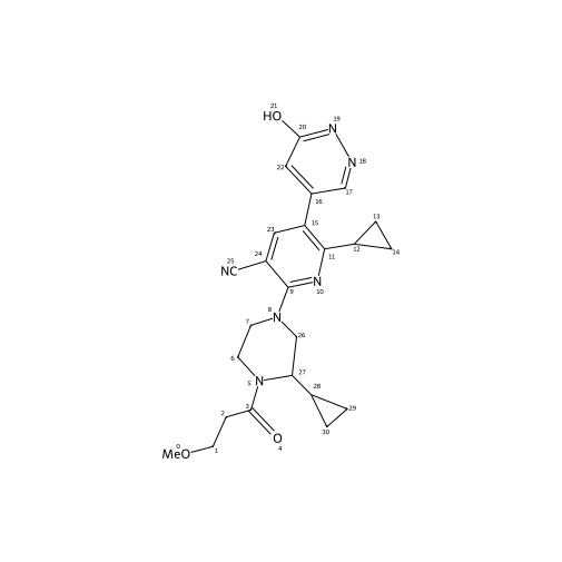 COCCC(=O)N1CCN(c2nc(C3CC3)c(-c3cnnc(O)c3)cc2C#N)CC1C1CC1